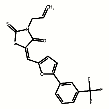 C=CCN1C(=O)/C(=C\c2ccc(-c3cccc(C(F)(F)F)c3)o2)SC1=S